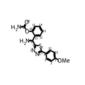 COc1ccc(-c2nnc(C(N)c3ccccc3OC(N)=O)s2)cc1